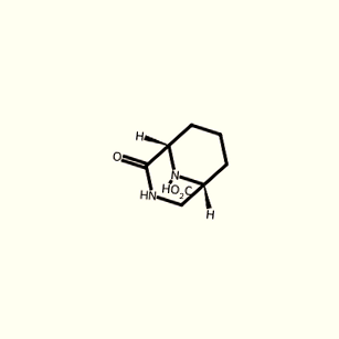 O=C1NC[C@H]2CCC[C@@H]1N2C(=O)O